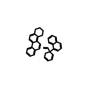 C=CC1(c2cccc3ccccc23)C=CC=CC1.c1ccc2c(c1)ccc1c3c(ccc12)CCCC3